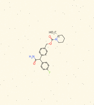 NC(=O)C(c1ccc(F)cc1)c1ccc(COC(=O)N2CCCC[C@H]2C(=O)O)cc1